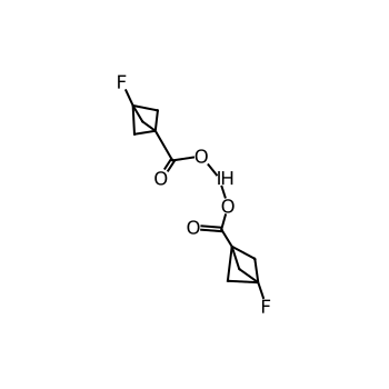 O=C(O[IH]OC(=O)C12CC(F)(C1)C2)C12CC(F)(C1)C2